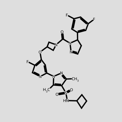 Cc1nn(-c2cc(OC3CN(C(=O)N4N=CCC4c4cc(F)cc(F)c4)C3)c(F)cn2)c(C)c1S(=O)(=O)NC1CCC1